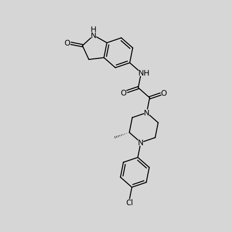 C[C@@H]1CN(C(=O)C(=O)Nc2ccc3c(c2)CC(=O)N3)CCN1c1ccc(Cl)cc1